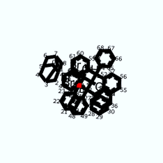 C1C2CC3CC1CC(C2)C3.OC(C(Br)Br)(C(Br)(Br)c1ccccc1)C(Oc1ccccc1)(C(c1ccccc1)(c1ccccc1)c1ccccc1)C(c1ccccc1)(c1ccccc1)c1ccccc1